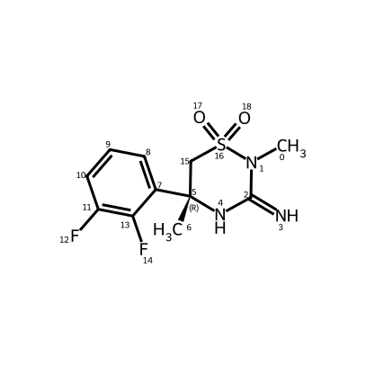 CN1C(=N)N[C@](C)(c2cccc(F)c2F)CS1(=O)=O